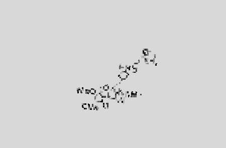 CNc1ncc2cc(-c3c(Cl)c(OC)cc(OC)c3Cl)c(=O)n(CCc3ccc(NC(=O)/C=C/CN(C)C)cc3)c2n1